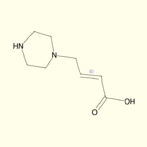 O=C(O)/C=C/CN1CCNCC1